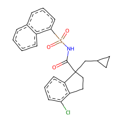 O=C(NS(=O)(=O)c1cccc2ccccc12)C1(CC2CC2)CCc2c(Cl)cccc21